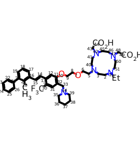 CCN1CCN(CCOCCOc2cc(/C=C/c3cccc(-c4ccccc4)c3C)c(C(F)(F)F)cc2CN2CCCCC2)CCN(CC(=O)O)CCN(CC(=O)O)CC1